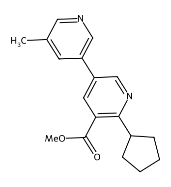 COC(=O)c1cc(-c2cncc(C)c2)cnc1C1CCCC1